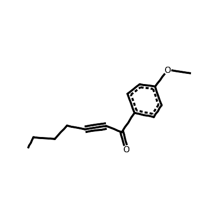 CCCCC#CC(=O)c1ccc(OC)cc1